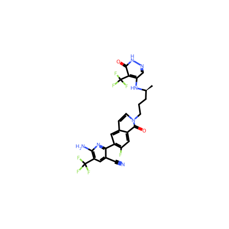 C[C@@H](CCCn1ccc2cc(-c3nc(N)c(C(F)(F)F)cc3C#N)c(F)cc2c1=O)Nc1cn[nH]c(=O)c1C(F)(F)F